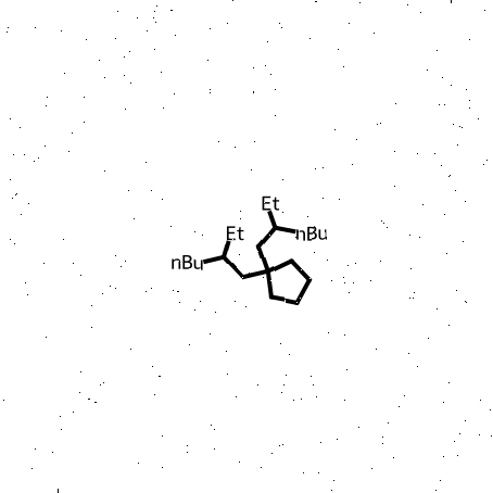 CCCCC(CC)CC1(CC(CC)CCCC)CCCC1